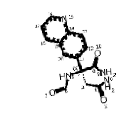 NC(=O)C[C@@](NC=O)(C(N)=O)c1ccc2ncccc2c1